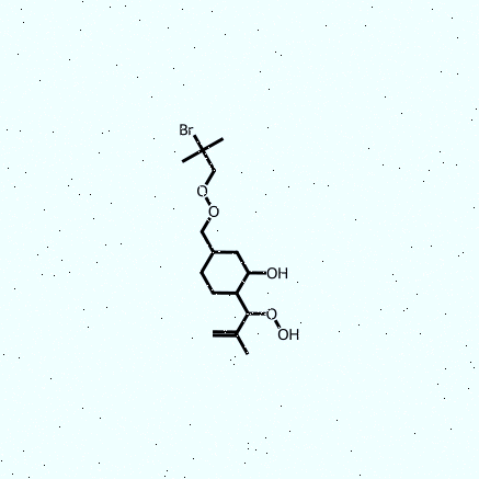 C=C(C)C(OO)C1CCC(COOCC(C)(C)Br)CC1O